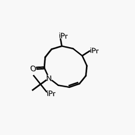 CC(C)C1CCC=CCN(C(C)(C)C(C)C)C(=O)CCC(C(C)C)C1